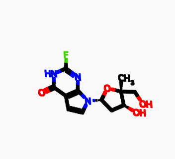 C[C@]1(CO)O[C@@H](n2ccc3c(=O)[nH]c(F)nc32)C[C@@H]1O